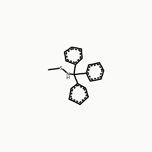 CSNC(c1ccccc1)(c1ccccc1)c1ccccc1